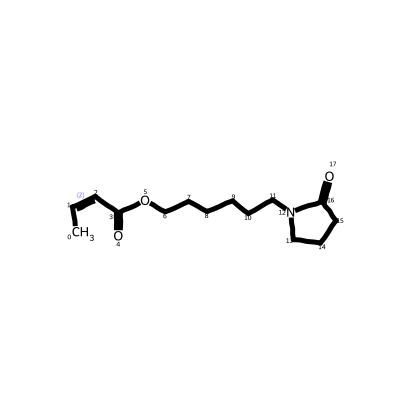 C/C=C\C(=O)OCCCCCCN1CCCC1=O